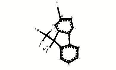 CC1(C(F)(F)F)c2ccccc2-c2ccc(I)cc21